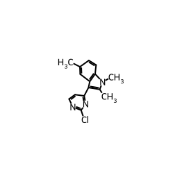 Cc1ccc2c(c1)c(-c1ccnc(Cl)n1)c(C)n2C